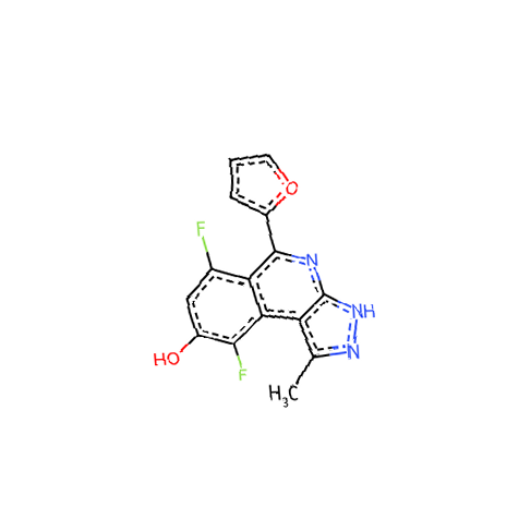 Cc1n[nH]c2nc(-c3ccco3)c3c(F)cc(O)c(F)c3c12